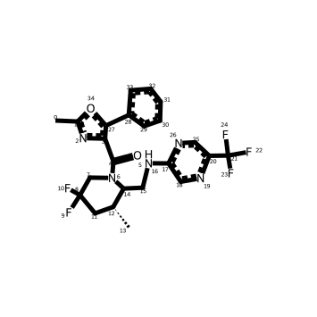 Cc1nc(C(=O)N2CC(F)(F)C[C@@H](C)C2CNc2cnc(C(F)(F)F)cn2)c(-c2ccccc2)o1